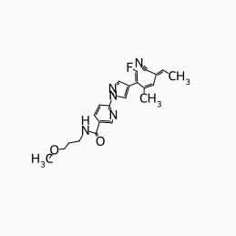 C\C=C(C#N)/C=C(C)\C(=C\F)c1cnn(-c2ccc(C(=O)NCCCOC)cn2)c1